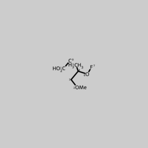 CC(=O)O.COCC(C)OF